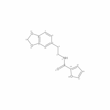 O=C(NCCc1ccc2c(c1)OCO2)c1ccco1